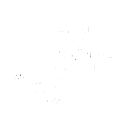 CCOC(=O)N1c2cc(C)c(C)cc2N(C(=O)c2ccc(C(=O)c3cc(OC)ccc3OC)cc2)CC1CC